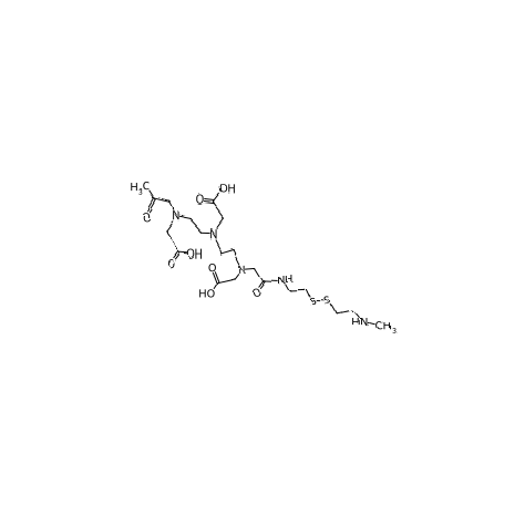 CNCCSSCCNC(=O)CN(CCN(CCN(CC(C)=O)CC(=O)O)CC(=O)O)CC(=O)O